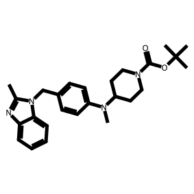 Cc1nc2ccccc2n1Cc1ccc(N(C)C2CCN(C(=O)OC(C)(C)C)CC2)cc1